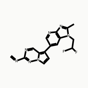 C=Nc1ncc2c(-c3cnc4nc(C)n(CC(F)F)c4c3)ccn2n1